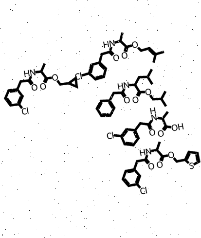 CC(C)=CCOC(=O)C(C)NC(=O)Cc1cccc(Cl)c1.CC(C)COC(=O)C(CC(C)C)NC(=O)Cc1ccccc1.CC(NC(=O)Cc1cccc(Cl)c1)C(=O)O.CC(NC(=O)Cc1cccc(Cl)c1)C(=O)OCC1CC1.CC(NC(=O)Cc1cccc(Cl)c1)C(=O)OCc1cccs1